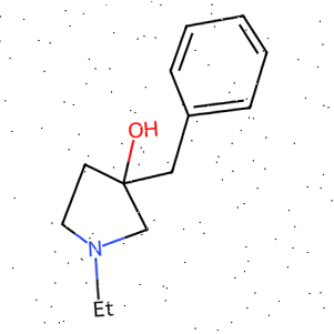 CCN1CCC(O)(Cc2ccccc2)C1